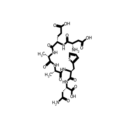 C[C@H](NC(=O)[C@H](C)NC(=O)[C@H](CCC(=O)O)NC(=O)[C@@H](N)CC(=O)O)C(=O)N[C@@H](Cc1cccs1)C(=O)N[C@@H](CC(N)=O)C(=O)O